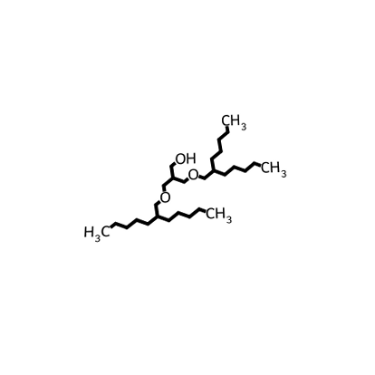 CCCCCC(CCCCC)COCC(CO)COCC(CCCCC)CCCCC